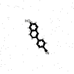 N#Cc1ccc(C2=Cc3ccc(O)cc3CC2)cc1